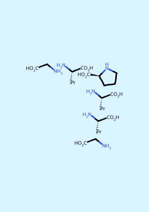 CC(C)[C@H](N)C(=O)O.CC(C)[C@H](N)C(=O)O.CC(C)[C@H](N)C(=O)O.NCC(=O)O.NCC(=O)O.O=C(O)[C@@H]1CCCN1